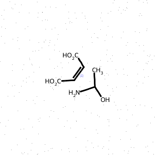 CC(N)O.O=C(O)/C=C\C(=O)O